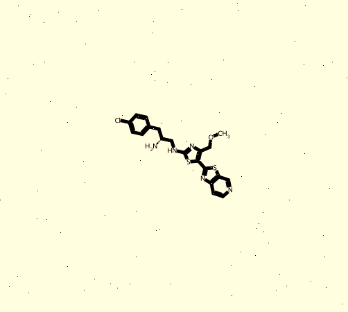 COCc1nc(NC[C@H](N)Cc2ccc(Cl)cc2)sc1-c1nc2ccncc2s1